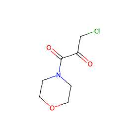 O=C(CCl)C(=O)N1CCOCC1